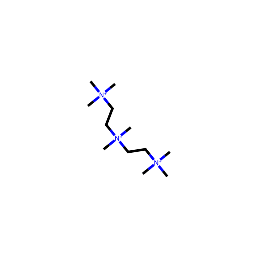 C[N+](C)(C)CC[N+](C)(C)CC[N+](C)(C)C